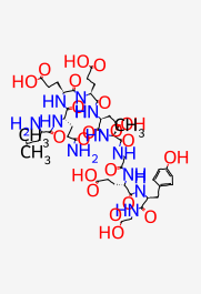 CC(C)C[C@H](N)C(=O)N[C@@H](CCC(N)=O)C(=O)N[C@@H](CCC(=O)O)C(=O)N[C@@H](CCC(=O)O)C(=O)N[C@@H](CC(=O)O)C(=O)N[C@@H](C)C(=O)NCC(=O)N[C@@H](CCC(=O)O)C(=O)N[C@@H](Cc1ccc(O)cc1)C(=O)NCC(=O)O